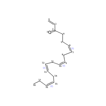 C=CC(=O)CC/C=C\C/C=C\C/C=C\C/C=C\CC